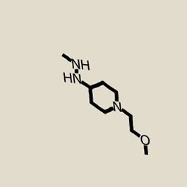 CNNC1CCN(CCOC)CC1